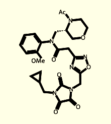 COc1ccccc1N(C[C@H]1COCCN1C(C)=O)C(=O)Cc1noc(CN2C(=O)C(=O)N(CC3CC3)C2=O)n1